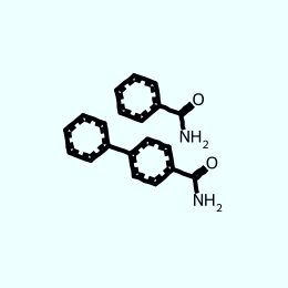 NC(=O)c1ccc(-c2ccccc2)cc1.NC(=O)c1ccccc1